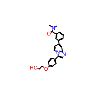 CN(C)C(=O)c1cccc(-c2ccn3c(-c4ccc(OCCO)cc4)cnc3c2)c1